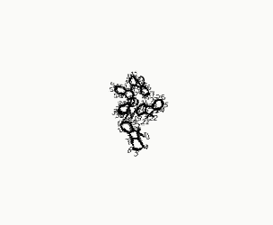 CC1(C)c2ccccc2-c2ccc(N(c3ccc4c(c3)C(C)(C)c3ccccc3-4)c3cccc4c3oc3cc(-c5cccc6oc7ccccc7c56)c5ccccc5c34)cc21